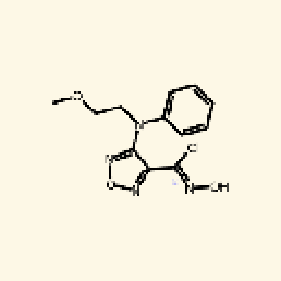 COCCN(c1ccccc1)c1nonc1/C(Cl)=N/O